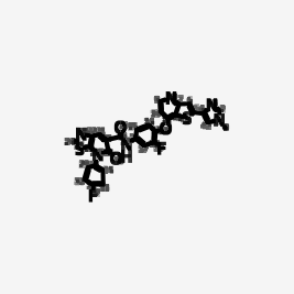 Cn1cnc(-c2cc3nccc(Oc4ccc(NC(=O)c5cc6ncsc6n(-c6ccc(F)cc6)c5=O)cc4F)c3s2)c1